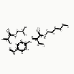 C=C(C)C(=O)OCC(C)C.C=C(CC)C(=O)OCCCCCC.C=Cc1ccc(C)cc1